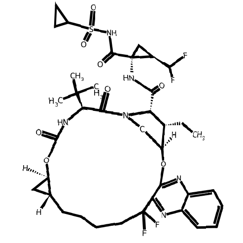 CC[C@@H]1[C@@H]2CN(C(=O)[C@H](C(C)(C)C)NC(=O)O[C@@H]3C[C@H]3CCCCC(F)(F)c3nc4ccccc4nc3O2)[C@@H]1C(=O)N[C@]1(C(=O)NS(=O)(=O)C2CC2)C[C@H]1C(F)F